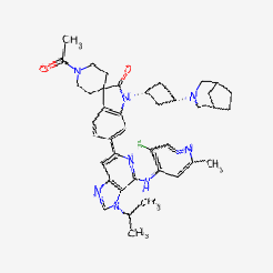 CC(=O)N1CCC2(CC1)C(=O)N([C@H]1C[C@@H](N3CC4CCC(C4)C3)C1)c1cc(-c3cc4ncn(C(C)C)c4c(Nc4cc(C)ncc4F)n3)ccc12